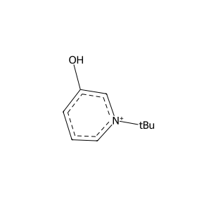 CC(C)(C)[n+]1cccc(O)c1